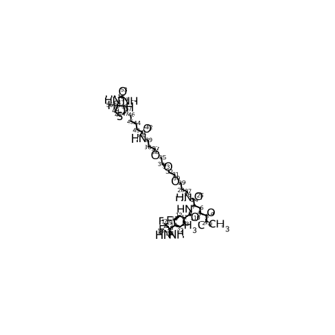 CC(C)C(=O)CCC(NC(=O)c1ccc(C2(C(F)(F)F)NN2)cc1)C(=O)NCCCOCCOCCOCCCNC(=O)CCCC[C@@H]1SC[C@@H]2NC(=O)N[C@@H]21